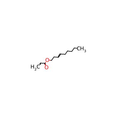 C=CC(=O)OCCC=CCCCCC